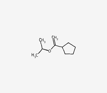 C=C(OC(C)C)C1CCCC1